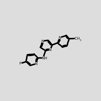 Cc1ccc(-c2cncc(Nc3ccc(F)cn3)n2)nc1